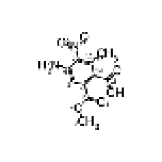 COC(=O)c1cc(N)c([N+](=O)[O-])c(C)c1C(=O)O